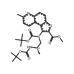 COC(=O)c1sc2ccc3nc(C)ccc3c2c1N(C[C@@H](C)NC(=O)OC(C)(C)C)C(=O)OC(C)(C)C